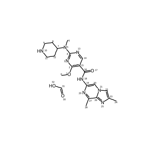 COc1nc(N(C)C2CCNCC2)ncc1C(=O)Nc1cn2cc(C)nc2c(C)n1.O=CO